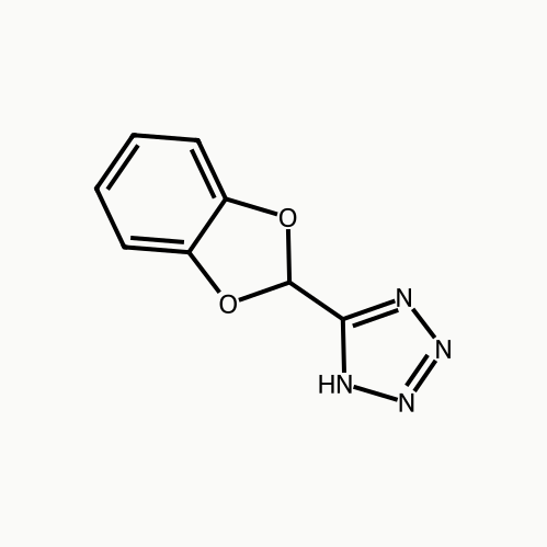 c1ccc2c(c1)OC(c1nnn[nH]1)O2